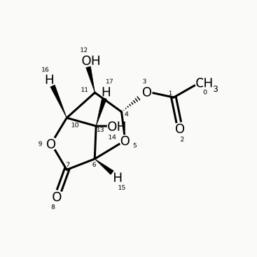 CC(=O)O[C@@H]1O[C@@H]2C(=O)O[C@H]([C@H]1O)[C@@H]2O